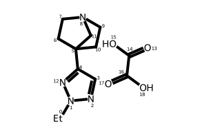 CCn1ncc(C23CCN(CC2)C3)n1.O=C(O)C(=O)O